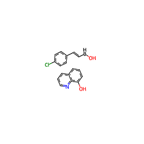 OBC=Cc1ccc(Cl)cc1.Oc1cccc2cccnc12